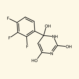 OC1=CC(O)(c2ccc(F)c(F)c2F)NC(O)=N1